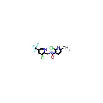 Cc1ccc(C(=O)NCc2ncc(C(F)(F)F)cc2Cl)c(Cl)n1